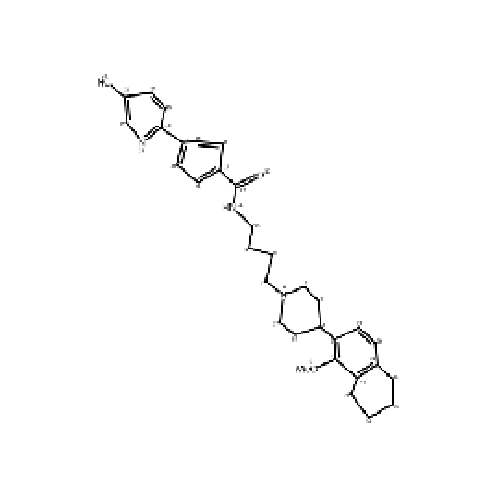 COc1c(C2CCN(CCCCNC(=O)c3ccc(-c4ccc(C#N)cn4)cc3)CC2)ccc2c1CCCC2